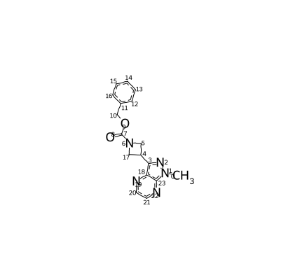 Cn1nc(C2CN(C(=O)OCc3ccccc3)C2)c2nccnc21